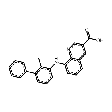 Cc1c(Nc2cccc3cc(C(=O)O)cnc23)cccc1-c1ccccc1